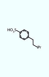 CC(C)CCc1ccc(S(=O)(=O)O)cc1